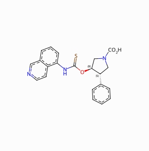 O=C(O)N1C[C@H](OC(=S)Nc2cccc3cnccc23)[C@@H](c2ccccc2)C1